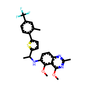 COc1nc(C)nc2ccc(NC(C)c3ccc(-c4ccc(C(F)(F)F)cc4C)s3)c(OC)c12